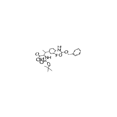 CC(c1ccc(NC(=O)OCc2ccccc2)c(F)c1)[C@@H](NC(=O)OC(C)(C)C)C(=O)O